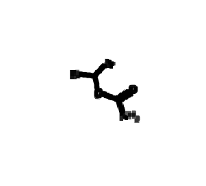 CCC(Br)OC(N)=O